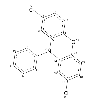 Clc1ccc2c(c1)N(c1ccccc1)c1cc(Cl)ccc1O2